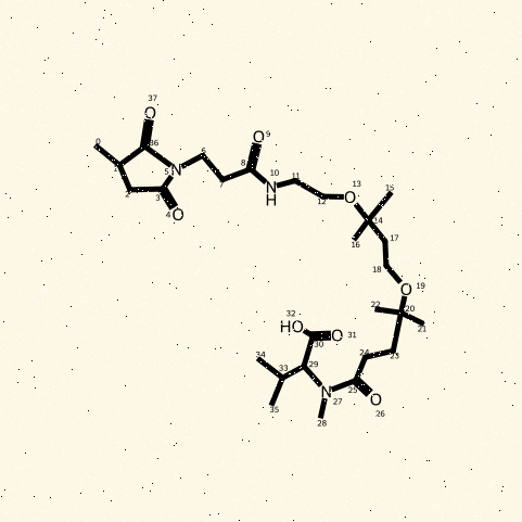 CC1CC(=O)N(CCC(=O)NCCOC(C)(C)CCOC(C)(C)CCC(=O)N(C)C(C(=O)O)C(C)C)C1=O